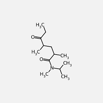 CCC(=O)C(C)CC(C)C(=O)N(C)C(C)C